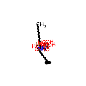 CCCCCCCCCCCCCC[C@@H](O)[C@@H](O)[C@H](COC1OC(CO)C(O)C(O)C1O)N[SH](C)(=O)CCCCCCCCCCC12C3C4C5C3C1C5C42